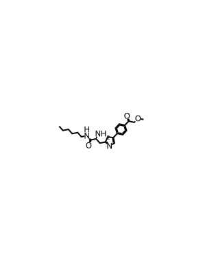 CCCCCCNC(=O)[C@@H](N)CC1=NC=C(c2ccc(C(=O)COC)cc2)C1